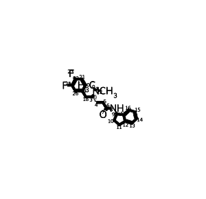 CN(C)[C@H](CCC(=O)NC1CCc2ccccc21)Cc1ccc(F)c(F)c1